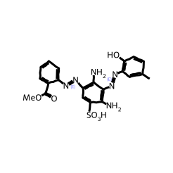 COC(=O)c1ccccc1/N=N/c1cc(S(=O)(=O)O)c(N)c(/N=N/c2cc(C)ccc2O)c1N